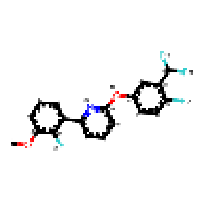 COc1cccc(-c2cccc(Oc3ccc(F)c(C(F)F)c3)n2)c1F